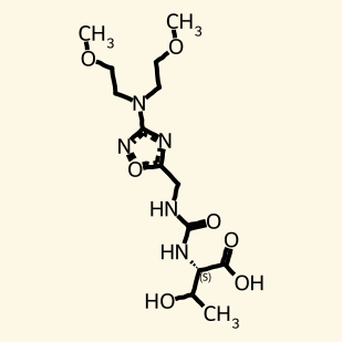 COCCN(CCOC)c1noc(CNC(=O)N[C@H](C(=O)O)C(C)O)n1